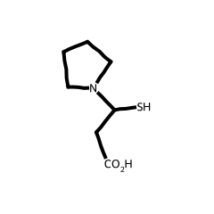 O=C(O)CC(S)N1CCCC1